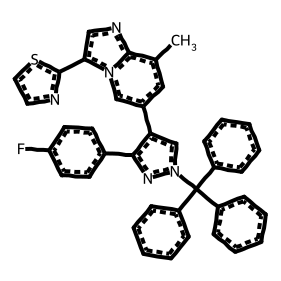 Cc1cc(-c2cn(C(c3ccccc3)(c3ccccc3)c3ccccc3)nc2-c2ccc(F)cc2)cn2c(-c3nccs3)cnc12